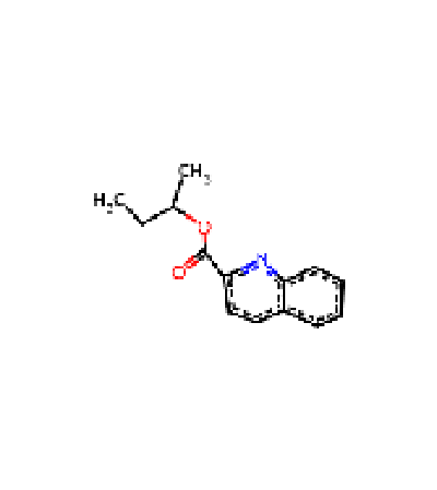 CCC(C)OC(=O)c1ccc2ccccc2n1